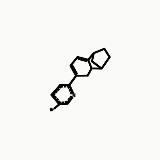 Brc1ccc(C2=CC=C3C4CCC(C4)C3C2)nc1